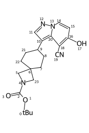 CC(C)(C)OC(=O)N1CC2(CCC(c3cnn4ccc(O)c(C#N)c34)CC2)C1